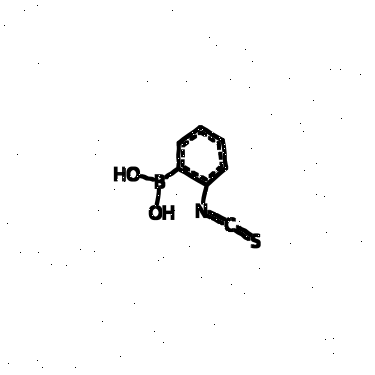 OB(O)c1ccccc1N=C=S